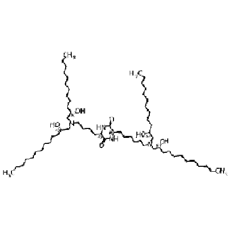 CCCCCCCCCCC[C@H](O)CN(CCCC[C@H]1NC(=O)[C@@H](CCCCCCN(C[C@@H](O)CCCCCCCCCC)C[C@@H](O)CCCCCCCCCC)NC1=O)C[C@@H](O)CCCCCCCCCC